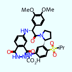 COc1ccc([C@@H](Nc2ccc3c(=O)[nH][nH]c(=O)c3c2)C(=O)N2CCC[C@@H]2c2cc(NC(=O)O)ccc2S(=O)(=O)C(C)C)cc1OC